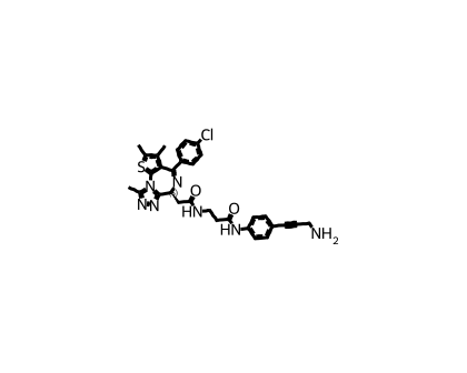 Cc1sc2c(c1C)C(c1ccc(Cl)cc1)=N[C@@H](CC(=O)NCCC(=O)Nc1ccc(C#CCN)cc1)c1nnc(C)n1-2